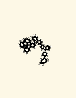 c1ccc(-c2ccc(-n3c4ccccc4c4cc(-c5ccc6c7ccccc7n(-c7ccc8c(c7)C7(c9ccccc9-c9ccccc97)c7ccccc7-8)c6c5)ccc43)cc2)cc1